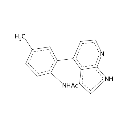 CC(=O)Nc1ccc(C)cc1-c1ccnc2[nH]ccc12